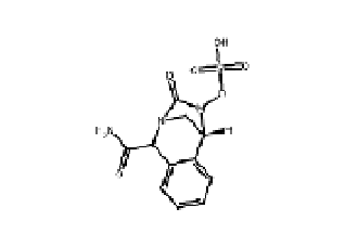 NC(=O)C1c2ccccc2[C@@H]2CN1C(=O)N2OS(=O)(=O)O